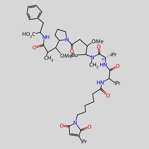 CCC(C)C(C(CC(=O)N1CCCC1C(OC)C(C)C(=O)NC(Cc1ccccc1)C(=O)O)OC)N(C)C(=O)[C@@H](NC(=O)C(NC(=O)CCCCCN1C(=O)C=C(C(C)C)C1=O)C(C)C)C(C)C